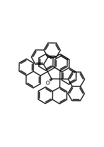 O=C(C(c1cccc2ccccc12)(c1cccc2ccccc12)c1cccc2ccccc12)C(c1cccc2ccccc12)(c1cccc2ccccc12)c1cccc2ccccc12